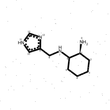 N[C@H]1CCCCC1NCc1c[nH]cn1